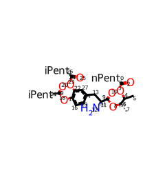 CCCCCC(=O)OC(C)[C@H](C)OC(=O)[C@@H](N)Cc1ccc(OC(=O)C(C)CCC)c(OC(=O)C(C)CCC)c1